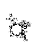 C=C(CC)NC(=C)SCC1NC(=O)CNC(=O)[C@H]([C@@H](C)CC)NC(=O)CNC(=O)COC(CNC(=O)OC(C)(C)C)(N2C[C@H](O)C[C@H]2C(=O)N[C@@H](C[C@@H](O)CO)C(N)=O)C(=O)[C@H](CC(N)=O)NC1=O